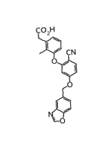 Cc1c(CC(=O)O)cccc1Oc1cc(OCc2ccc3ocnc3c2)ccc1C#N